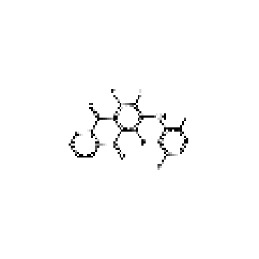 O=C1c2ccccc2C(=O)c2c(F)c(Nc3cc(F)ccc3F)c(F)c(F)c21